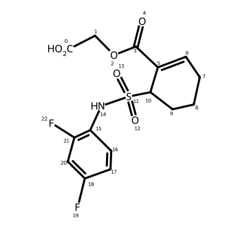 O=C(O)COC(=O)C1=CCCCC1S(=O)(=O)Nc1ccc(F)cc1F